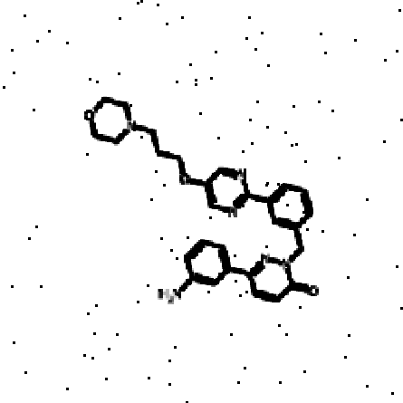 Nc1cccc(-c2ccc(=O)n(Cc3cccc(-c4ncc(OCCCN5CCOCC5)cn4)c3)n2)c1